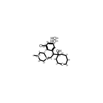 CN1CCN(CC(c2cccc(Cl)c2)C2(O)CCCCCCC2)CC1.Cl.Cl